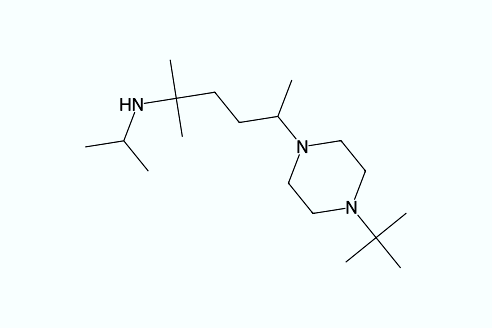 CC(C)NC(C)(C)CCC(C)N1CCN(C(C)(C)C)CC1